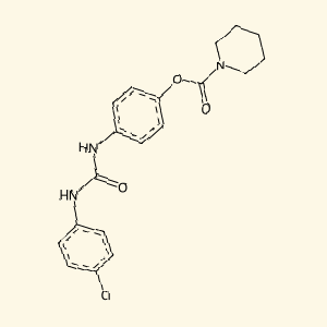 O=C(Nc1ccc(Cl)cc1)Nc1ccc(OC(=O)N2CCCCC2)cc1